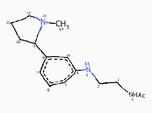 CC(=O)NCCNc1cccc(C2CCCN2C)c1